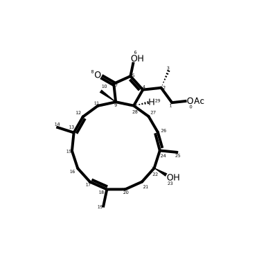 CC(=O)OC[C@@H](C)C1=C(O)C(=O)[C@@]2(C)C/C=C(/C)CC/C=C(/C)CC[C@H](O)/C(C)=C\C[C@H]12